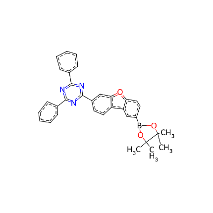 CC1(C)OB(c2ccc3oc4cc(-c5nc(-c6ccccc6)nc(-c6ccccc6)n5)ccc4c3c2)OC1(C)C